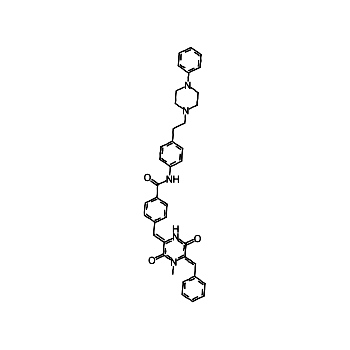 Cn1c(=O)c(=Cc2ccc(C(=O)Nc3ccc(CCN4CCN(c5ccccc5)CC4)cc3)cc2)[nH]c(=O)c1=Cc1ccccc1